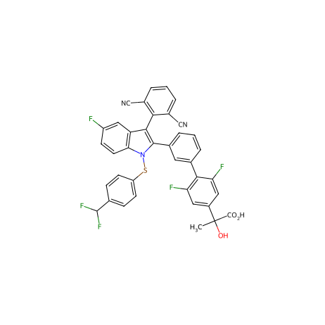 CC(O)(C(=O)O)c1cc(F)c(-c2cccc(-c3c(-c4c(C#N)cccc4C#N)c4cc(F)ccc4n3Sc3ccc(C(F)F)cc3)c2)c(F)c1